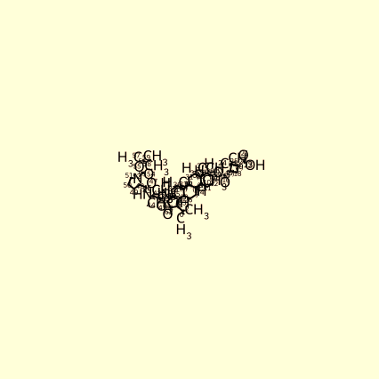 CC(C)C1=C2[C@H]3CC[C@@H]4[C@@]5(C)CC[C@H](OC(=O)[C@H]6C[C@@H](C(=O)O)C6(C)C)C(C)(C)[C@@H]5CC[C@@]4(C)[C@]3(C)CC[C@@]2(NC(=O)C(C)(C)NC(=O)C2CCCN2C(=O)OC(C)(C)C)CC1=O